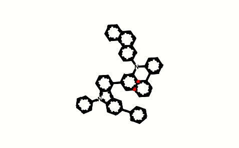 c1ccc(-c2ccc3c(c2)c2c(-c4cccc(N(c5ccc6c(ccc7ccccc76)c5)c5ccccc5-c5ccccc5)c4)cccc2n3-c2ccccc2)cc1